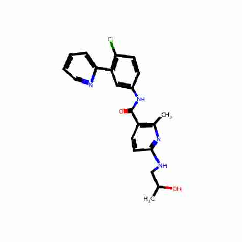 Cc1nc(NCC(C)O)ccc1C(=O)Nc1ccc(Cl)c(-c2ccccn2)c1